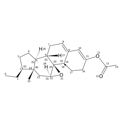 CC[C@H]1CC[C@H]2[C@@H]3CC=C4C=C(OC(C)=O)CC[C@]4(C)[C@@]34O[C@H]4C[C@]12C